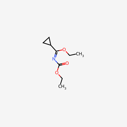 CCOC(=O)N=C(OCC)C1CC1